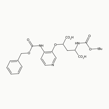 CC(C)(C)OC(=O)NC(CC(Oc1cnccc1NC(=O)OCc1ccccc1)C(=O)O)C(=O)O